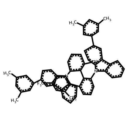 Cc1cc(C)cc(-c2ccc3c(c2)c2ccccc2n3-c2cccc(C#N)c2-c2c(-c3ccc(C(F)(F)F)cc3C(F)(F)F)cccc2-n2c3ccccc3c3cc(-c4cc(C)cc(C)c4)ccc32)c1